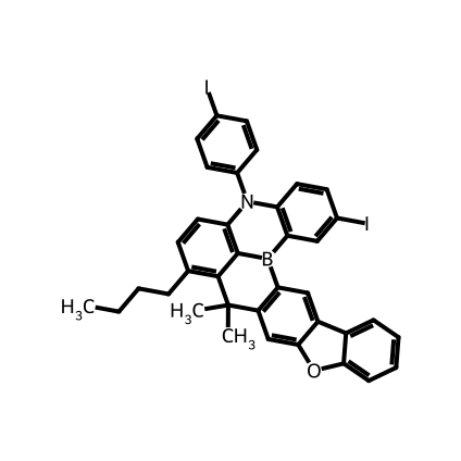 CCCCc1ccc2c3c1C(C)(C)c1cc4oc5ccccc5c4cc1B3c1cc(I)ccc1N2c1ccc(I)cc1